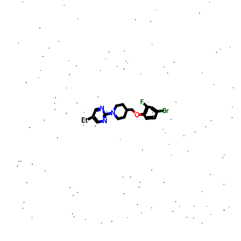 CCc1cnc(N2CCC(COc3ccc(Br)cc3F)CC2)nc1